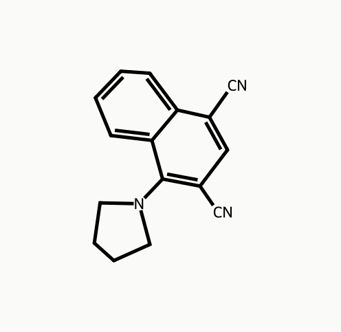 N#Cc1cc(C#N)c2ccccc2c1N1CCCC1